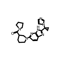 O=C(C1CCCN(c2ccc3nc(C4(n5ccnc5)CC4)[nH]c3n2)C1)N1CCCC1